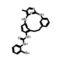 CCC(C)c1ccccc1NC(=O)Nc1ccc2cc1CCc1cccc(c1)Nc1ncc(C)c(n1)N2